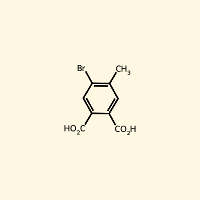 Cc1cc(C(=O)O)c(C(=O)O)cc1Br